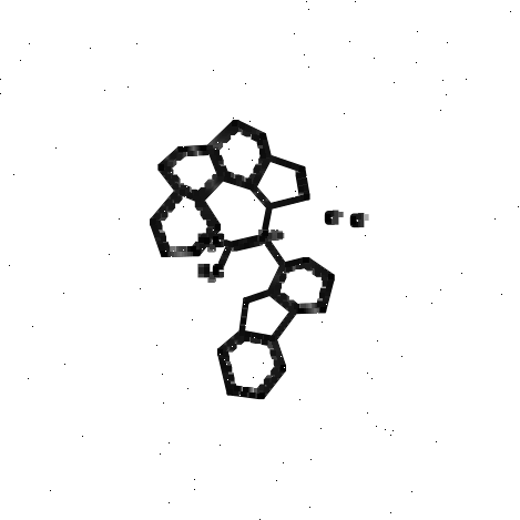 C[C](C)=[Zr+2]([c]1cccc2c1Cc1ccccc1-2)[CH]1C=Cc2ccc3ccc4ccccc4c3c21.[Cl-].[Cl-]